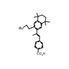 CCC(C)CCc1cc2c(cc1/C(C)=C/c1ccc(C(=O)O)cc1)C(C)(C)CCC2(C)C